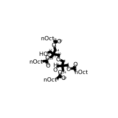 CCCCCCCCC(=O)OCC(CO)(COCC(CO)(COC(=O)CCCCCCCC)COC(=O)CCCCCCCC)COC(=O)CCCCCCCC